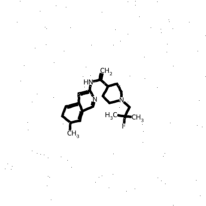 C=C(Nc1cc2c(cn1)=CC(C)CC=2)C1CCN(CC(C)(C)F)CC1